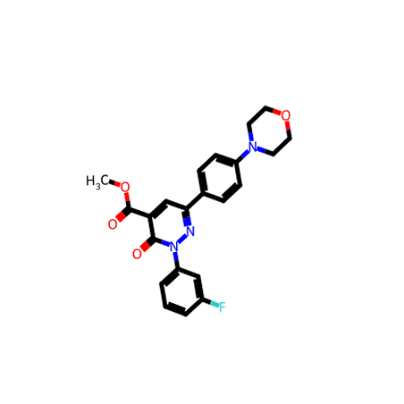 COC(=O)c1cc(-c2ccc(N3CCOCC3)cc2)nn(-c2cccc(F)c2)c1=O